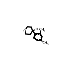 Cc1ccc(C2(O)CCOCC2)c(C)c1